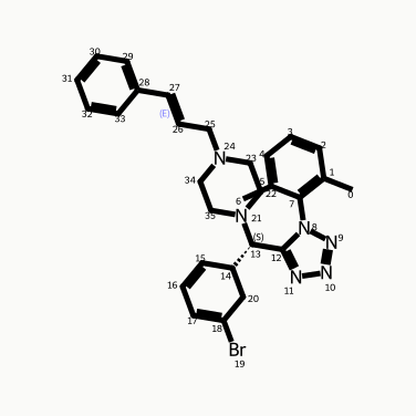 Cc1cccc(C)c1-n1nnnc1[C@H](C1C=CC=C(Br)C1)N1CCN(C/C=C/c2ccccc2)CC1